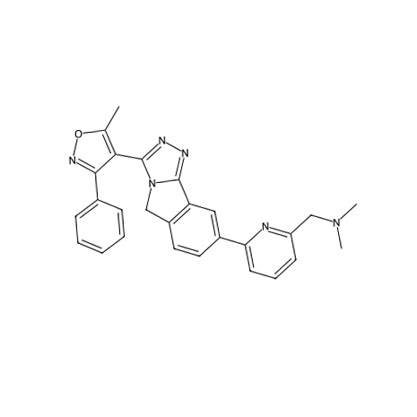 Cc1onc(-c2ccccc2)c1-c1nnc2n1Cc1ccc(-c3cccc(CN(C)C)n3)cc1-2